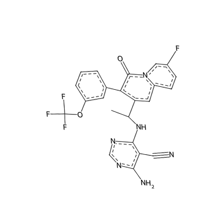 CC(Nc1ncnc(N)c1C#N)c1cc2ccc(F)cn2c(=O)c1-c1cccc(OC(F)(F)F)c1